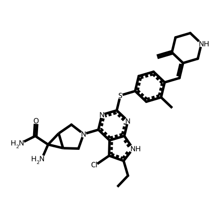 C=C1CCNC/C1=C/c1ccc(Sc2nc(N3CC4C(C3)C4(N)C(N)=O)c3c(Cl)c(CC)[nH]c3n2)cc1C